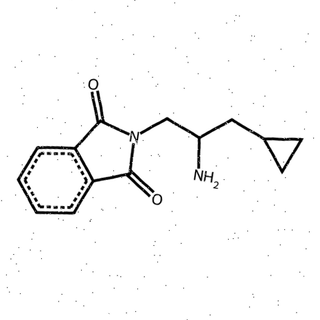 NC(CC1CC1)CN1C(=O)c2ccccc2C1=O